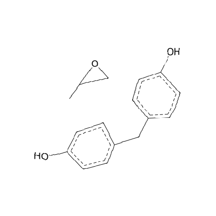 CC1CO1.Oc1ccc(Cc2ccc(O)cc2)cc1